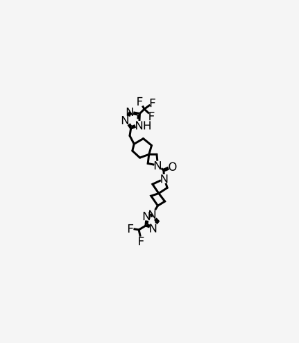 O=C(N1CC2(CCC(Cc3nnc(C(F)(F)F)[nH]3)CC2)C1)N1CC2(CC(n3cnc(C(F)F)n3)C2)C1